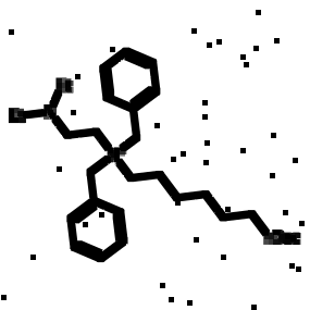 CCCCCCCCCCCCCCCC[N+](CCN(CC)CC)(Cc1ccccc1)Cc1ccccc1